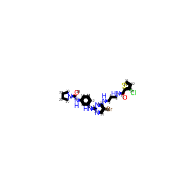 O=C(NCCCNc1nc(Nc2cccc(NC(=O)N3CCCC3)c2)ncc1Br)c1sccc1Cl